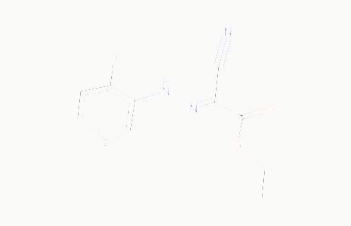 CCOC(=O)/C(C#N)=N/Nc1ccccc1Br